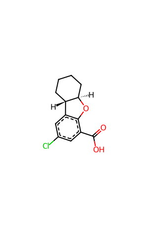 O=C(O)c1cc(Cl)cc2c1O[C@@H]1CCCC[C@@H]21